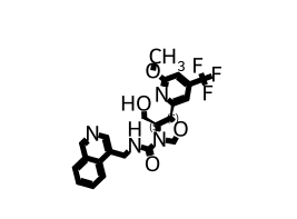 COc1cc(C(F)(F)F)cc([C@H]2OCN(C(=O)NCc3cncc4ccccc34)[C@H]2CO)n1